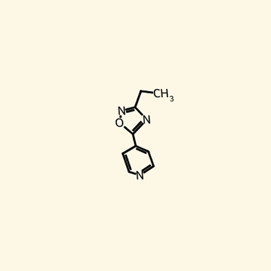 CCc1noc(-c2ccncc2)n1